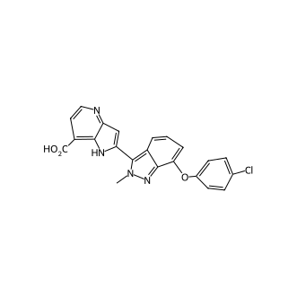 Cn1nc2c(Oc3ccc(Cl)cc3)cccc2c1-c1cc2nccc(C(=O)O)c2[nH]1